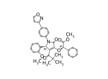 COC(=O)[C@H](OC1=C(C(=O)C(C)(C)C)[C@@H](c2ccccc2OC)N(c2ccc(-c3ccon3)cc2)C1=O)c1ccccc1